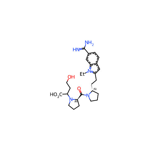 CCn1c(CC[C@@H]2CCCN2C(=O)[C@H]2CCCN2C(CCO)C(=O)O)cc2ccc(C(=N)N)cc21